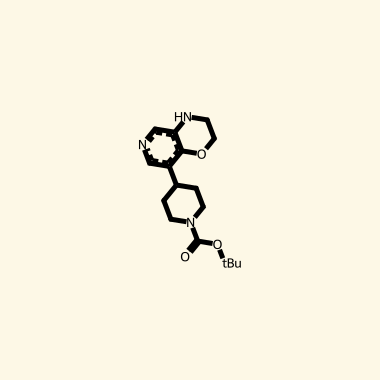 CC(C)(C)OC(=O)N1CCC(c2cncc3c2OCCN3)CC1